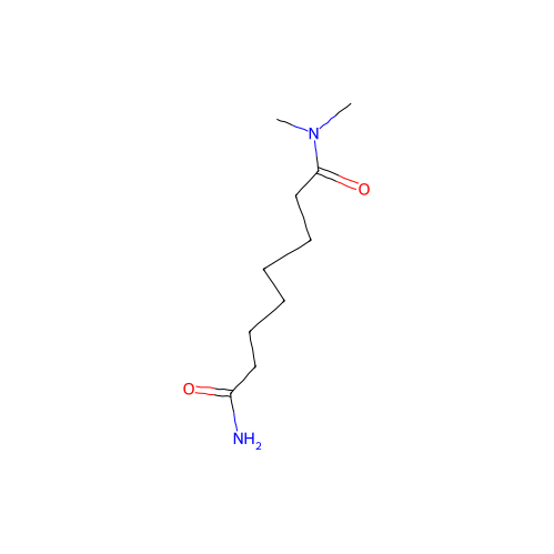 CN(C)C(=O)CCCCCCC(N)=O